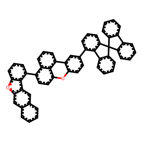 c1ccc2c(c1)-c1ccccc1C21c2ccccc2-c2c(-c3ccc4c(c3)-c3cccc5c(-c6cccc7oc8cc9ccccc9cc8c67)ccc(c35)O4)cccc21